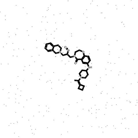 CC(=C1CCC1)N1CCC(Nc2ccc3c(c2)C(=O)N(CC(CN2CCc4ccccc4C2)N=O)CCO3)CC1